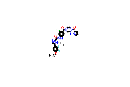 COc1ccc(-c2cnc(C(=O)Nc3ccc(C(=O)N4CCN(C(=O)[C@@H]5C=CCN5)CC4)c(Cl)c3)n2C)c(F)c1F